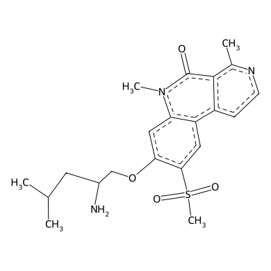 Cc1nccc2c1c(=O)n(C)c1cc(OCC(N)CC(C)C)c(S(C)(=O)=O)cc21